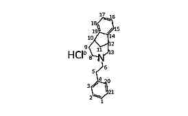 Cl.c1ccc(CCN2CCC3CC(C2)c2ccccc23)cc1